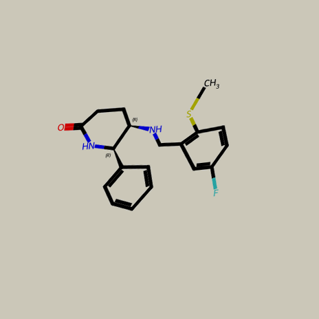 CSc1ccc(F)cc1CN[C@@H]1CCC(=O)N[C@@H]1c1ccccc1